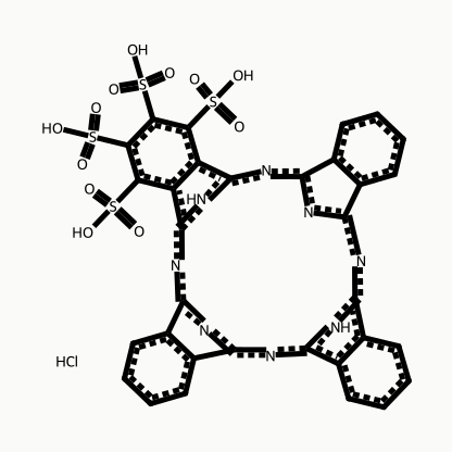 Cl.O=S(=O)(O)c1c(S(=O)(=O)O)c(S(=O)(=O)O)c2c3nc4nc(nc5[nH]c(nc6nc(nc([nH]3)c2c1S(=O)(=O)O)-c1ccccc1-6)c1ccccc51)-c1ccccc1-4